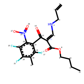 C=CCN/C=C(/C(=O)OCCCC)C(=O)c1c(F)c(C)c(F)c(F)c1[N+](=O)[O-]